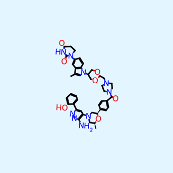 Cc1cn(C2COC(CN3CCN(C(=O)c4ccc([C@@H]5CN(c6cc(-c7ccccc7O)nnc6N)C[C@H](C)O5)cc4)CC3)OC2)c2ccc(N3CCC(=O)NC3=O)cc12